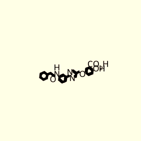 O=C(CC1CCCCC1)Nc1cccc(-c2ncc(COc3ccc(O)c(C(=O)O)c3)cn2)c1